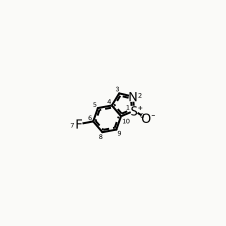 [O-][s+]1ncc2cc(F)ccc21